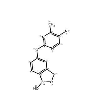 [C-]#[N+]c1cnc(Oc2ccc3c(c2)COB3O)nc1C